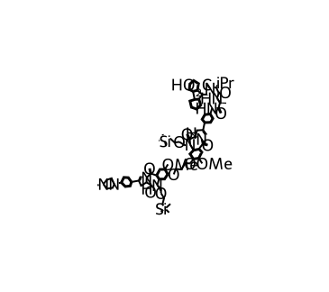 COc1cc2c(cc1OCCCOc1cc3c(cc1OC)C(=O)N1C=C(c4ccc(N5CCN(C)CC5)cc4)C[C@H]1C(=O)N3COCC[Si](C)(C)C)N(COCC[Si](C)(C)C)C(=O)[C@@H]1CC(c3ccc(NC(=O)[C@H](C)NC(=O)[C@H](C(C)C)N(CC4c5ccccc5-c5ccccc54)C(=O)O)cc3)=CN1C2=O